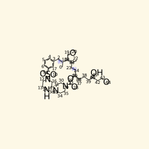 C/C(=C\c1cccc(S(=O)(=O)N2CCNCC2)c1)[C@@H](C=O)[C@@H](C)/C=C/[C@H](OC(=O)N1CCN(C)CC1)[C@@H](C)CC[C@@H](O)CC=O